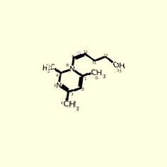 CC1=CC(C)=NC(C)N1/C=C\CCO